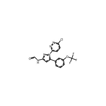 O=CNc1cc(-c2cccc(OC(F)(F)F)c2)n(-c2ccc(Cl)nn2)n1